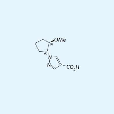 CO[C@@H]1CCC[C@H]1n1cc(C(=O)O)cn1